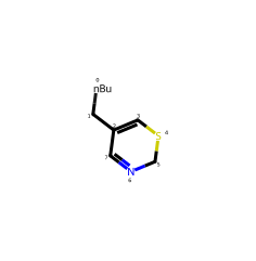 CCCCCC1=CSCN=C1